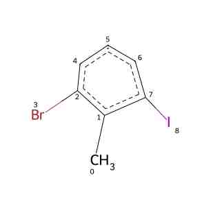 Cc1c(Br)c[c]cc1I